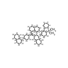 CC1(C)c2ccccc2-c2c(-c3ccc4cccc(N(c5ccc(-c6cccc7ccccc67)cc5)c5ccc6ccccc6c5)c4c3)cccc21